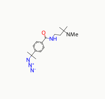 CNC(C)(C)CCNC(=O)c1ccc(C(C)(C)N=[N+]=[N-])cc1